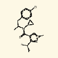 CC(Cc1ccc(Cl)cc1)N(C(=O)c1cn(C)nc1C(F)F)C1CC1